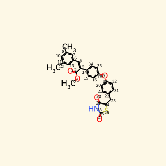 COC(=O)C(=Cc1cc(C)cc(C)c1)c1ccc(Oc2ccc(CC3SC(=O)NC3=O)cc2)cc1